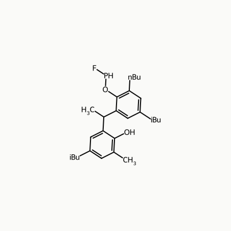 CCCCc1cc(C(C)CC)cc(C(C)c2cc(C(C)CC)cc(C)c2O)c1OPF